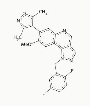 COc1cc2c(cc1-c1c(C)noc1C)ncc1cnn(Cc3cc(F)ccc3F)c12